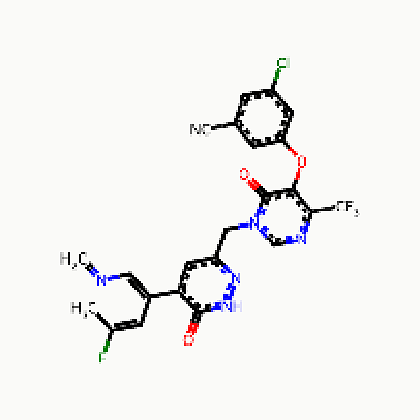 C=N/C=C(\C=C(/C)F)c1cc(Cn2cnc(C(F)(F)F)c(Oc3cc(Cl)cc(C#N)c3)c2=O)n[nH]c1=O